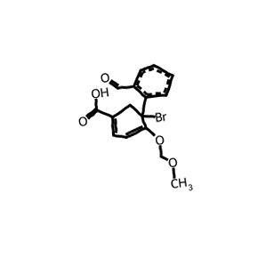 COCOC1=CC=C(C(=O)O)CC1(Br)c1ccccc1C=O